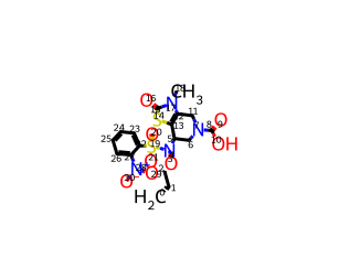 C=CCON(C1CN(C(=O)O)Cc2c1sc(=O)n2C)S(=O)(=O)c1ccccc1[N+](=O)[O-]